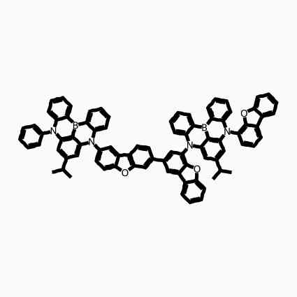 CC(C)c1cc2c3c(c1)N(c1ccc4oc5cc(-c6cc(N7c8ccccc8B8c9ccccc9N(c9cccc%10c9oc9ccccc9%10)c9cc(C(C)C)cc7c98)c7oc8ccccc8c7c6)ccc5c4c1)c1ccccc1B3c1ccccc1N2c1ccccc1